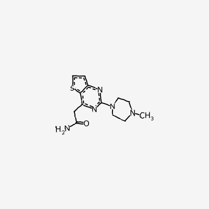 CN1CCN(c2nc(CC(N)=O)c3sccc3n2)CC1